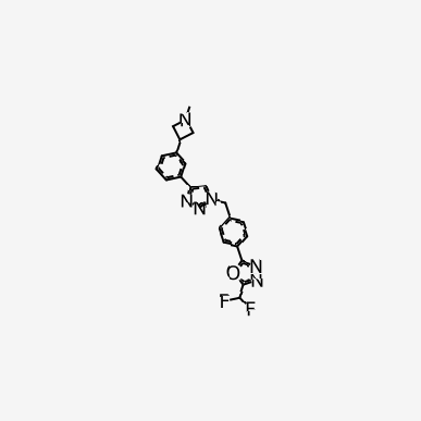 CN1CC(c2cccc(-c3cn(Cc4ccc(-c5nnc(C(F)F)o5)cc4)nn3)c2)C1